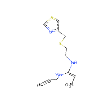 C#CCNC(=C[N+](=O)[O-])NCCSCc1cscn1